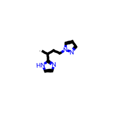 [CH2]C(CCn1cccn1)c1ncc[nH]1